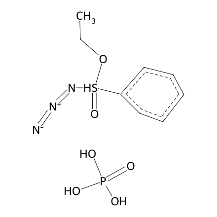 CCO[SH](=O)(N=[N+]=[N-])c1ccccc1.O=P(O)(O)O